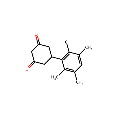 Cc1cc(C)c(C)c(C2CC(=O)CC(=O)C2)c1C